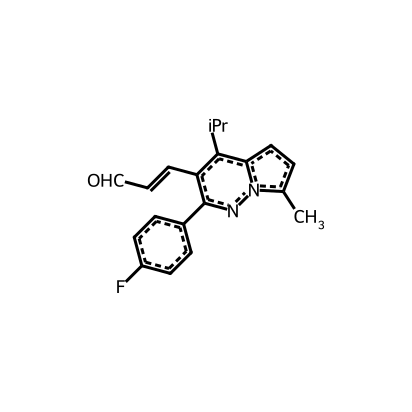 Cc1ccc2c(C(C)C)c(C=CC=O)c(-c3ccc(F)cc3)nn12